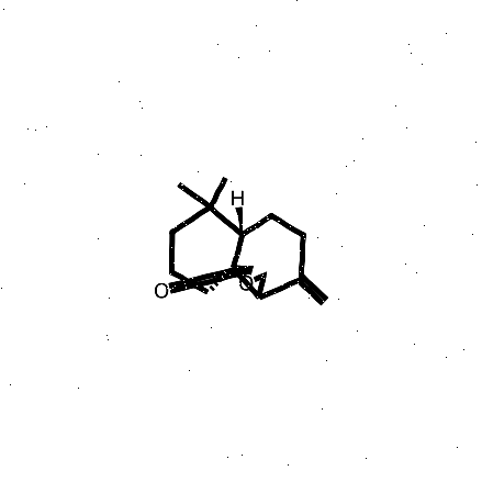 C=C1CC[C@H]2C(C)(C)CCC[C@@]23C(=O)OCC13